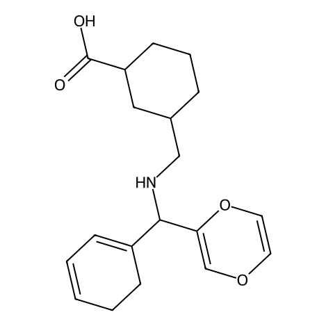 O=C(O)C1CCCC(CNC(C2=CC=CCC2)C2=COC=CO2)C1